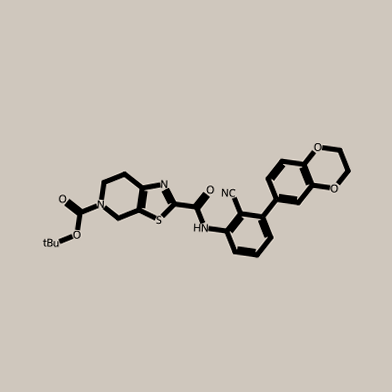 CC(C)(C)OC(=O)N1CCc2nc(C(=O)Nc3cccc(-c4ccc5c(c4)OCCO5)c3C#N)sc2C1